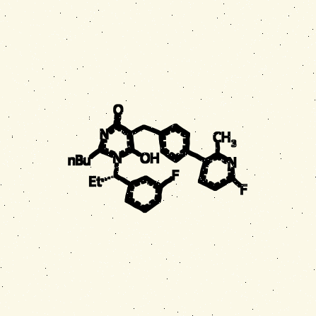 CCCCc1nc(=O)c(Cc2ccc(-c3ccc(F)nc3C)cc2)c(O)n1[C@@H](CC)c1cccc(F)c1